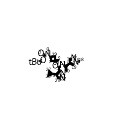 CN(C(=O)OC(C)(C)C)C1CC(C)(Oc2nc(-c3cnn(C)c3)cn3ncc(C4CC4)c23)C1